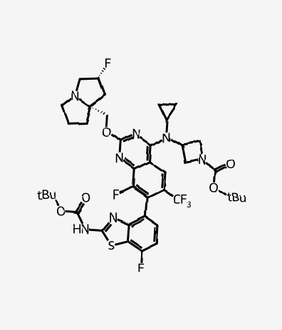 CC(C)(C)OC(=O)Nc1nc2c(-c3c(C(F)(F)F)cc4c(N(C5CC5)C5CN(C(=O)OC(C)(C)C)C5)nc(OC[C@]56CCCN5C[C@H](F)C6)nc4c3F)ccc(F)c2s1